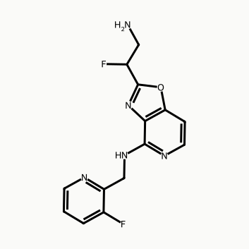 NCC(F)c1nc2c(NCc3ncccc3F)nccc2o1